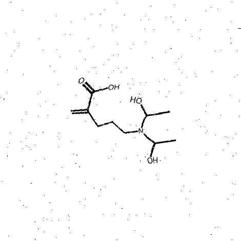 C=C(CCCN(C(C)O)C(C)O)C(=O)O